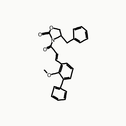 COc1c(/C=C/C(=O)N2C(=O)OCC2Cc2ccccc2)cccc1-c1ccccc1